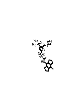 CC(C)(O)c1cc(S(=O)(=O)NC(=O)Nc2c3c(c(F)c4c2CCC4)CCC3)oc1COC1CNC1